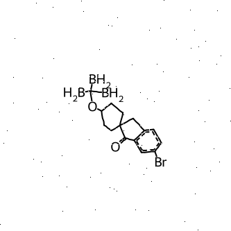 BC(B)(B)OC1CCC2(CC1)Cc1ccc(Br)cc1C2=O